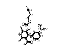 CC(=O)c1c(C)nc(C)c(OC(=O)OCCC#N)c1-c1cccc([N+](=O)[O-])c1